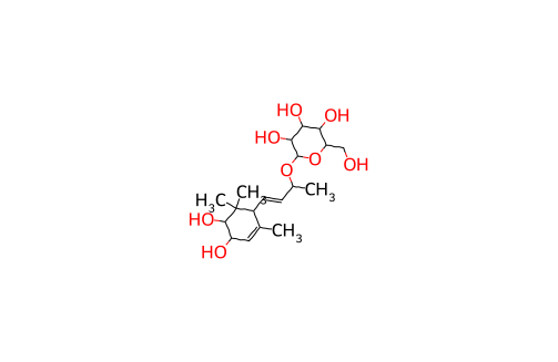 CC1=CC(O)C(O)C(C)(C)C1C=CC(C)OC1OC(CO)C(O)C(O)C1O